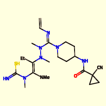 C=C/N=C(/N1CCC(NC(=O)C2(C#N)CC2)CC1)N(C)N(C)/C(CC)=C(\NC)N(C)C(=N)S